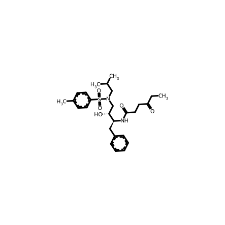 CCC(=O)CCC(=O)N[C@@H](Cc1ccccc1)[C@H](O)CN(CC(C)C)S(=O)(=O)c1ccc(C)cc1